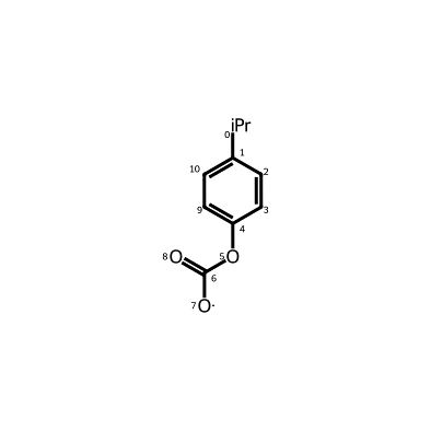 CC(C)c1ccc(OC([O])=O)cc1